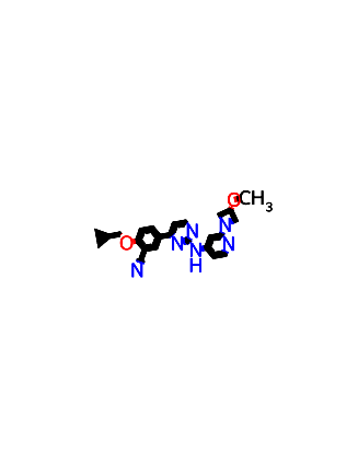 COC1CN(c2cc(Nc3nccc(-c4ccc(OCC5CC5)c(C#N)c4)n3)ccn2)C1